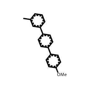 COc1ccc(-c2ccc(-c3cccc(C)c3)cc2)cc1